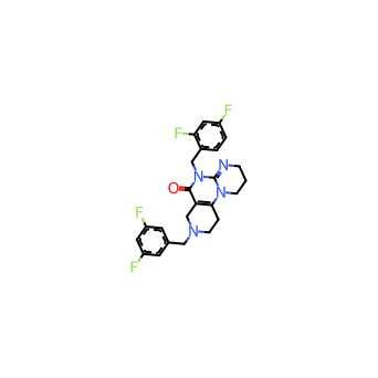 O=C1C2=C(CCN(Cc3cc(F)cc(F)c3)C2)N2CCCN=C2N1Cc1ccc(F)cc1F